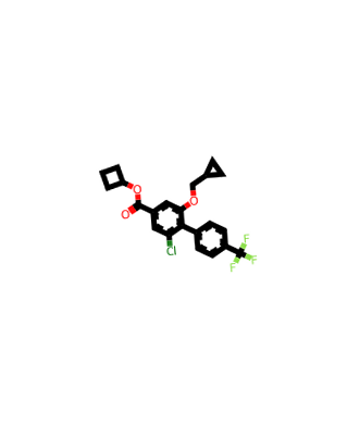 O=C(OC1CCC1)c1cc(Cl)c(-c2ccc(C(F)(F)F)cc2)c(OCC2CC2)c1